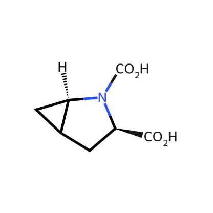 O=C(O)[C@H]1CC2C[C@H]2N1C(=O)O